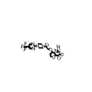 O=C(CO[C@H]1CCOc2c1n[nH]c(=O)c2Cl)N1CCN(c2ncc(C(F)(F)F)cn2)CC1